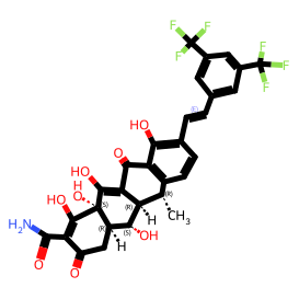 C[C@H]1c2ccc(/C=C/c3cc(C(F)(F)F)cc(C(F)(F)F)c3)c(O)c2C(=O)C2=C(O)[C@]3(O)C(O)=C(C(N)=O)C(=O)C[C@@H]3[C@@H](O)[C@@H]21